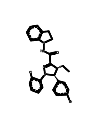 CC[C@H]1C(C(=O)NN2CCc3ccccc32)=NN(c2ccccc2Cl)[C@H]1c1ccc(Br)cc1